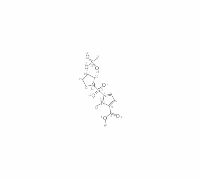 COC(=O)c1ccc(S(=O)(=O)N2CC[C@H](OS(C)(=O)=O)C2)n1C